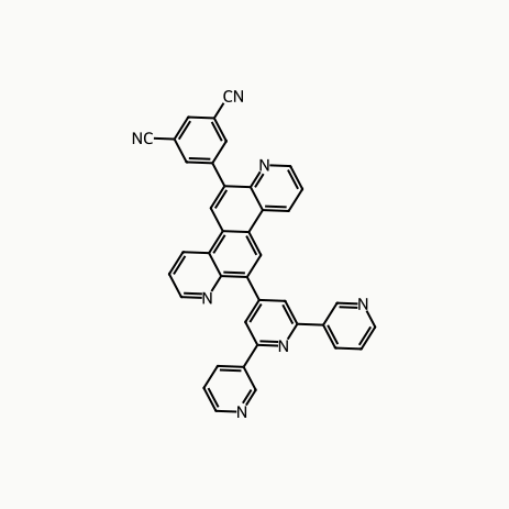 N#Cc1cc(C#N)cc(-c2cc3c4cccnc4c(-c4cc(-c5cccnc5)nc(-c5cccnc5)c4)cc3c3cccnc23)c1